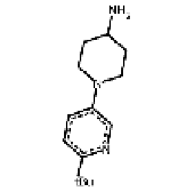 CC(C)(C)c1ccc(N2CCC(N)CC2)cn1